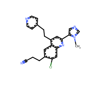 Cn1cncc1-c1cc(CCc2ccncc2)c2cc(CCC#N)c(Cl)cc2n1